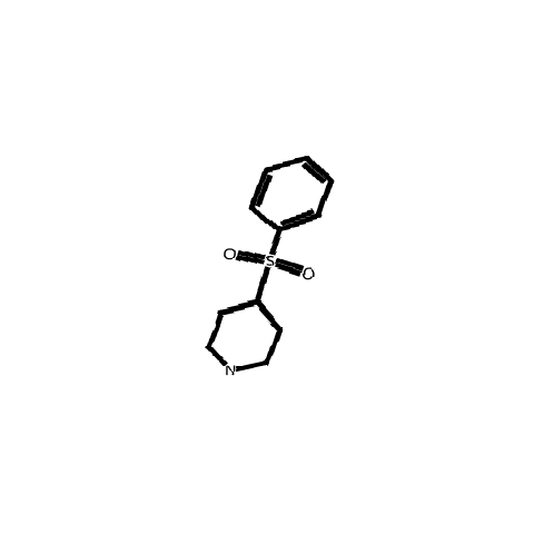 O=S(=O)(c1ccccc1)C1CC[N]CC1